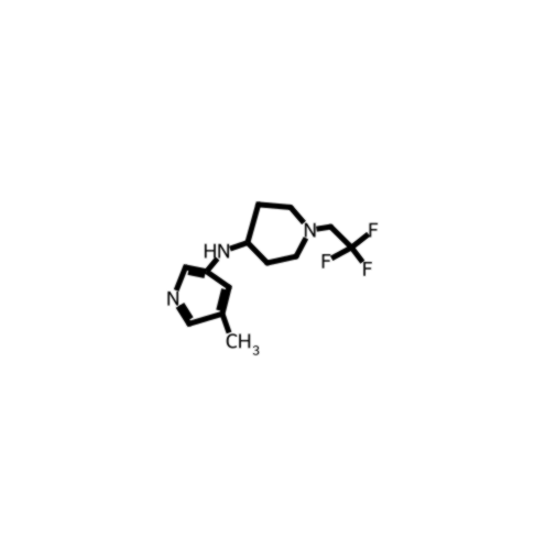 Cc1cncc(NC2CCN(CC(F)(F)F)CC2)c1